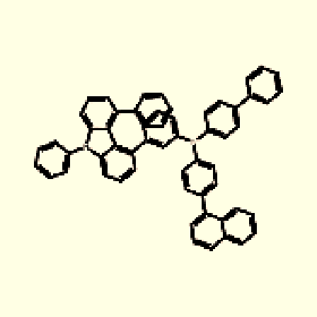 c1ccc(-c2ccc(N(c3ccc(-c4cccc5ccccc45)cc3)c3cccc(-c4cccc5c4c4c(-c6ccccc6)cccc4n5-c4ccccc4)c3)cc2)cc1